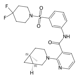 C[C@]12CCN(c3ncccc3C(=O)Nc3cccc(S(=O)(=O)N4CCC(F)(F)CC4)c3)C[C@H]1C2